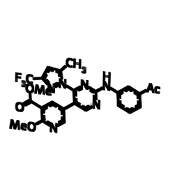 COC(=O)c1cc(-c2cnc(Nc3cccc(C(C)=O)c3)nc2-n2nc(C(F)(F)F)cc2C)cnc1OC